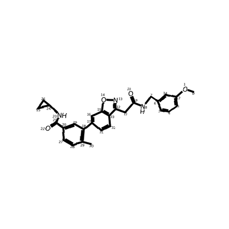 COc1cccc(CNC(=O)Cc2noc3cc(-c4cc(C(=O)NC5CC5)ccc4C)ccc23)c1